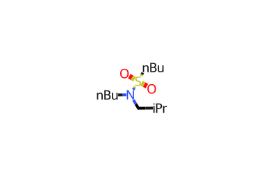 CCCCN(CC(C)C)S(=O)(=O)CCCC